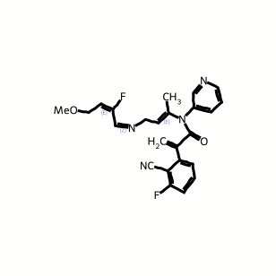 C=C(C(=O)N(/C(C)=C/C/N=C\C(F)=C/COC)c1cccnc1)c1cccc(F)c1C#N